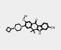 CC(C)Oc1cc2c(cc1N1CCN(C3CCC3)CC1)C(C)(C)c1[nH]c3cc(C#N)ccc3c1C2=O